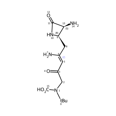 CC(C)(C)N(CC(=O)/C=C(\N)C[C@H]1NC(=O)[C@H]1N)C(=O)O